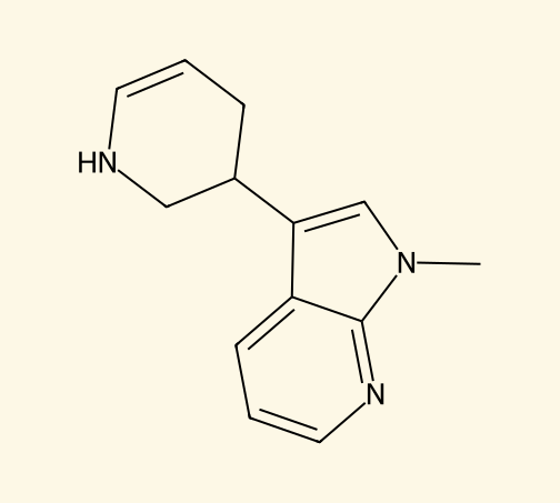 Cn1cc(C2CC=CNC2)c2cccnc21